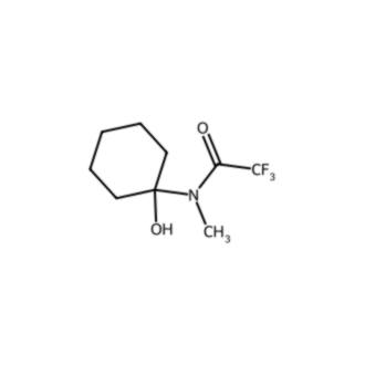 CN(C(=O)C(F)(F)F)C1(O)CCCCC1